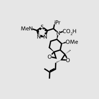 CNc1nnc(C(C(C)C)N(C(=O)O)[C@@H]2CC[C@]3(CO3)C([C@@]3(C)O[C@@H]3CC=C(C)C)[C@@H]2OC)s1